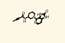 CC#CC(=O)NC1CCCN(c2nccc3[nH]c(=O)[nH]c23)C1